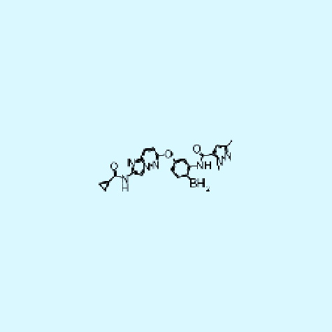 Bc1ccc(Oc2ccc3nc(NC(=O)C4CC4)cn3n2)cc1NC(=O)c1cc(C)nn1C